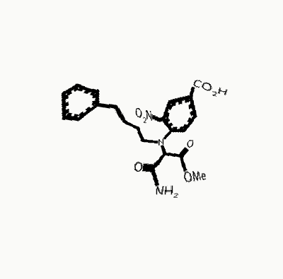 COC(=O)C(C(N)=O)N(CCCCc1ccccc1)c1ccc(C(=O)O)cc1[N+](=O)[O-]